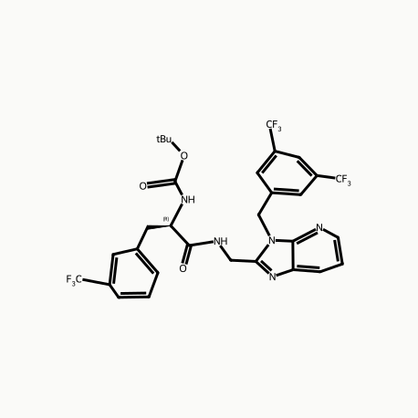 CC(C)(C)OC(=O)N[C@H](Cc1cccc(C(F)(F)F)c1)C(=O)NCc1nc2cccnc2n1Cc1cc(C(F)(F)F)cc(C(F)(F)F)c1